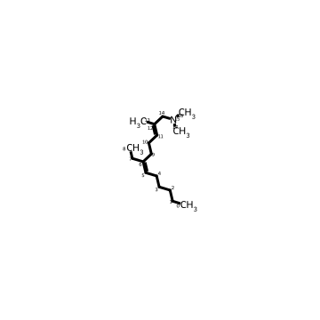 CCCCC/C=C(/CC)CC/C=C(\C)CN(C)C